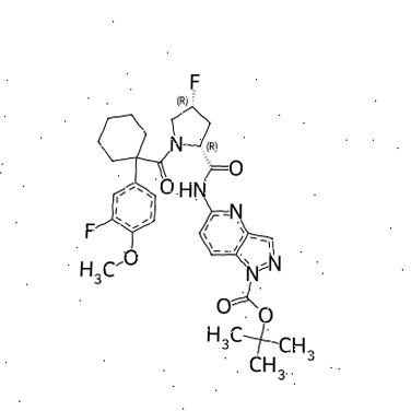 COc1ccc(C2(C(=O)N3C[C@H](F)C[C@@H]3C(=O)Nc3ccc4c(cnn4C(=O)OC(C)(C)C)n3)CCCCC2)cc1F